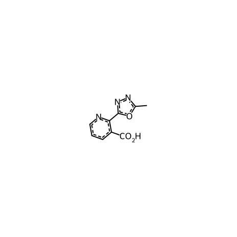 Cc1nnc(-c2ncccc2C(=O)O)o1